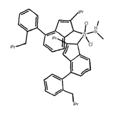 CC(C)Cc1ccccc1-c1cccc2c1C=C(C(C)C)[CH]2[Zr]([Cl])([Cl])([CH]1C(C(C)C)=Cc2c(-c3ccccc3CC(C)C)cccc21)[SiH](C)C